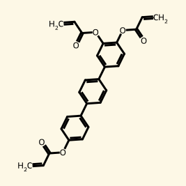 C=CC(=O)Oc1ccc(-c2ccc(-c3ccc(OC(=O)C=C)c(OC(=O)C=C)c3)cc2)cc1